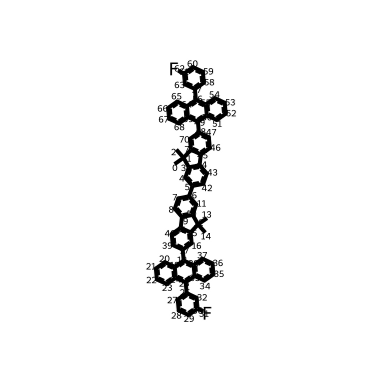 CC1(C)c2cc(-c3ccc4c(c3)C(C)(C)c3cc(-c5c6ccccc6c(-c6cccc(F)c6)c6ccccc56)ccc3-4)ccc2-c2ccc(-c3c4ccccc4c(-c4cccc(F)c4)c4ccccc34)cc21